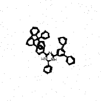 c1ccc(-c2cc(C3=NC(c4ccc(-c5cccc6c5C(c5ccccc5)(c5ccccc5)c5ccccc5-6)cc4)NC(c4ccccc4)N3)cc(-c3ccccc3)c2)cc1